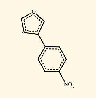 O=[N+]([O-])c1ccc(-c2[c]coc2)cc1